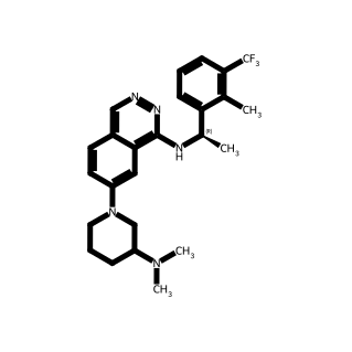 Cc1c([C@@H](C)Nc2nncc3ccc(N4CCCC(N(C)C)C4)cc23)cccc1C(F)(F)F